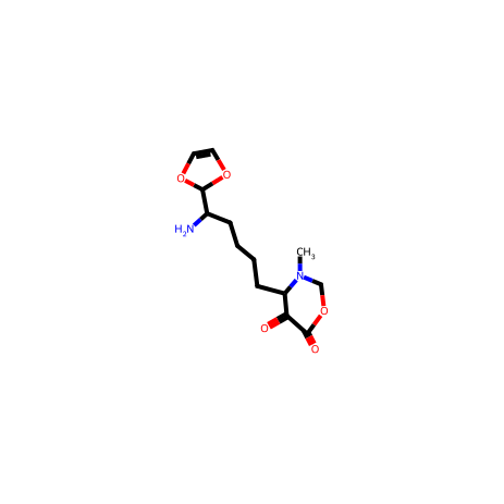 CN1COC(=O)C(=O)C1CCCCC(N)C1OC=CO1